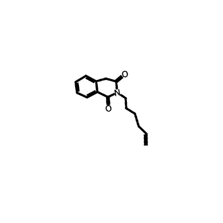 C=CCCCCN1C(=O)Cc2ccccc2C1=O